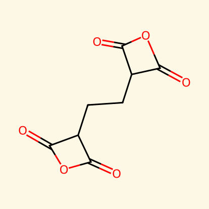 O=C1OC(=O)C1CCC1C(=O)OC1=O